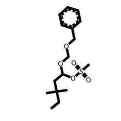 CCC(C)(C)CC(OCOCc1ccccc1)OS(C)(=O)=O